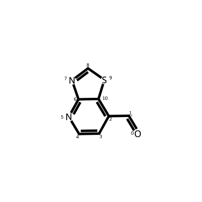 O=[C]c1ccnc2ncsc12